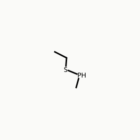 CCSPC